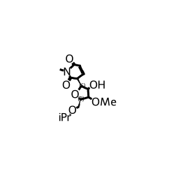 COC1C(O)[C@H](C2C=CC(=O)N(C)C2=O)O[C@@H]1COC(C)C